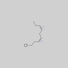 CC/C=C\C/C=C\CCCl